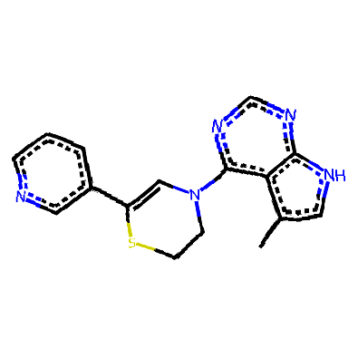 Cc1c[nH]c2ncnc(N3C=C(c4cccnc4)SCC3)c12